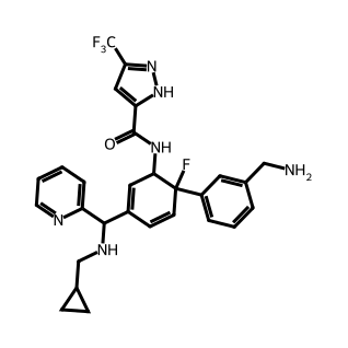 NCc1cccc(C2(F)C=CC(C(NCC3CC3)c3ccccn3)=CC2NC(=O)c2cc(C(F)(F)F)n[nH]2)c1